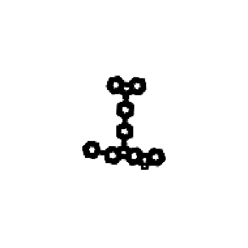 c1ccc(-c2ccc3c4cc5oc6ccccc6c5cc4n(-c4ccc(-c5ccc(-n6c7ccccc7c7ccccc76)cc5)cc4)c3c2)cc1